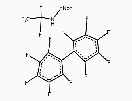 CCCCCCCCCNC(F)(F)C(F)(F)F.Fc1c(F)c(F)c(-c2c(F)c(F)c(F)c(F)c2F)c(F)c1F